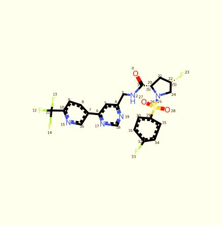 O=C(NCc1cc(-c2ccc(C(F)(F)F)nc2)ncn1)[C@@H]1C[C@H](F)CN1S(=O)(=O)c1ccc(F)cc1